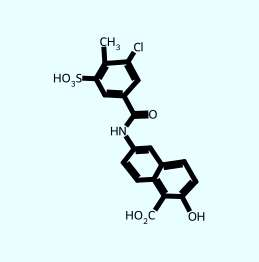 Cc1c(Cl)cc(C(=O)Nc2ccc3c(C(=O)O)c(O)ccc3c2)cc1S(=O)(=O)O